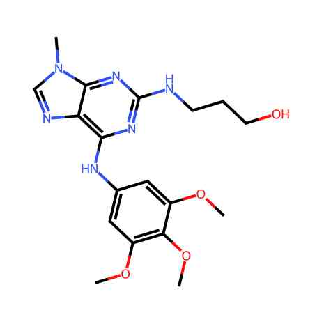 COc1cc(Nc2nc(NCCCO)nc3c2ncn3C)cc(OC)c1OC